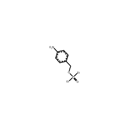 CCP(=O)(CC)OCc1ccc([N+](=O)[O-])cc1